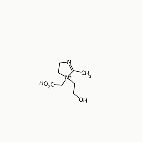 CC1=NCC[N+]1(CCO)CC(=O)O